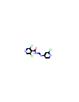 O=C(NC=Nc1ccnc(Cl)c1)c1c(Cl)cncc1Cl